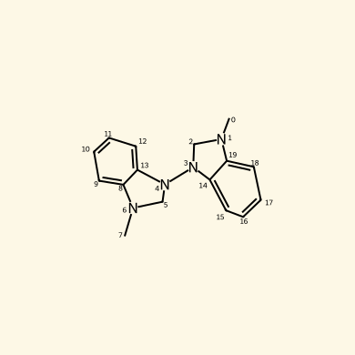 CN1CN(N2CN(C)c3ccccc32)c2ccccc21